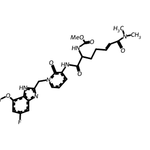 COC(=O)NC(CCC=CC(=O)N(C)C)C(=O)Nc1cccn(Cc2nc3cc(F)cc(OC(C)(C)C)c3[nH]2)c1=O